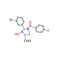 O=CC1CN(C(=O)c2ccc(F)cc2)C(c2cccc(Br)c2)N1O